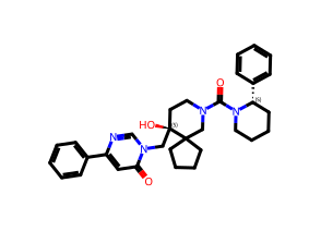 O=C(N1CC[C@@](O)(Cn2cnc(-c3ccccc3)cc2=O)C2(CCCC2)C1)N1CCCC[C@H]1c1ccccc1